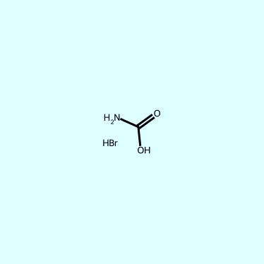 Br.NC(=O)O